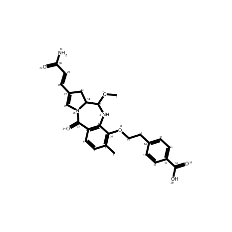 COC1Nc2c(ccc(C)c2OCCc2ccc(C(=O)O)cc2)C(=O)N2C=C(C=CC(N)=O)CC12